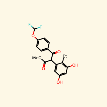 CCc1c(O)cc(O)cc1C(C(=O)OC)C(=O)c1ccc(OC(F)F)cc1